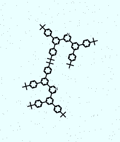 CC(C)(C)c1ccc(-c2cc(-c3ccc(C(C)(C)C)cc3)cc(-c3cncc(-c4cc(-c5ccc(C(C)(C)C)cc5)cc(-c5ccc(C(C)(C)C(C)(C)c6ccc(-c7cc(-c8ccc(C(C)(C)C)cc8)cc(-c8cncc(-c9cc(-c%10ccc(C(C)(C)C)cc%10)cc(-c%10ccc(C(C)(C)C)cc%10)c9)c8)c7)cc6)cc5)c4)c3)c2)cc1